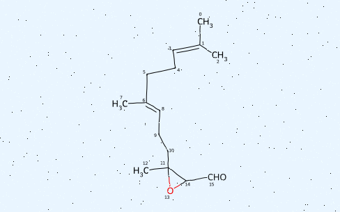 CC(C)=CCC/C(C)=C/CCC1(C)OC1C=O